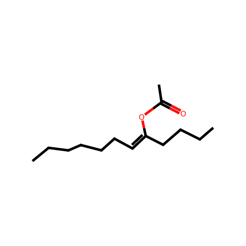 CCCCCCC=C(CCCC)OC(C)=O